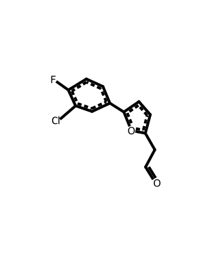 O=CCc1ccc(-c2ccc(F)c(Cl)c2)o1